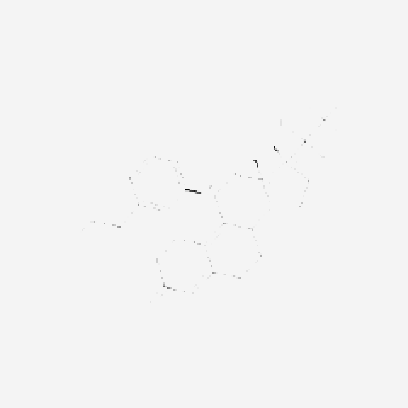 C[C@]12C[C@H](c3cccc(CCO)c3)C3=C4CCC(=O)C=C4CCC3C1CC[C@@]2(O)C(F)(F)C(F)(F)F